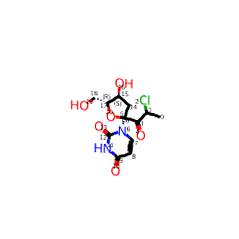 CC(Cl)C(=O)[C@]1(n2ccc(=O)[nH]c2=O)C[C@H](O)[C@@H](CO)O1